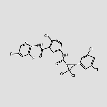 O=C(Nc1ncc(F)cc1F)c1cc(NC(=O)[C@H]2[C@H](c3cc(Cl)cc(Cl)c3)C2(Cl)Cl)ccc1Cl